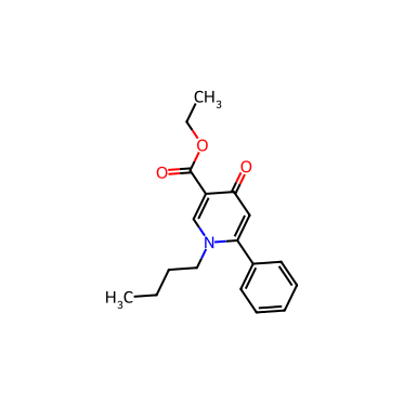 CCCCn1cc(C(=O)OCC)c(=O)cc1-c1ccccc1